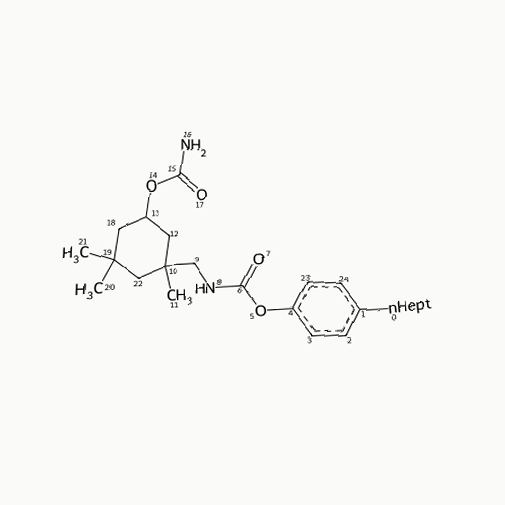 CCCCCCCc1ccc(OC(=O)NCC2(C)CC(OC(N)=O)CC(C)(C)C2)cc1